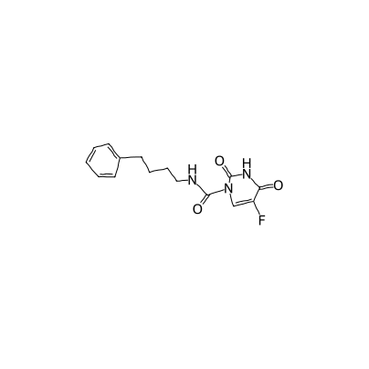 O=C(NCCCCc1ccccc1)n1cc(F)c(=O)[nH]c1=O